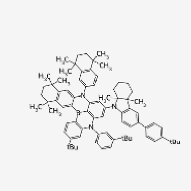 CC(C)(C)c1ccc(-c2ccc3c(c2)C2(C)CCCCC2(C)N3c2cc3c4c(c2)N(c2ccc5c(c2)C(C)(C)CCC5(C)C)c2cc5c(cc2B4c2ccc(C(C)(C)C)cc2N3c2cccc(C(C)(C)C)c2)C(C)(C)CCC5(C)C)cc1